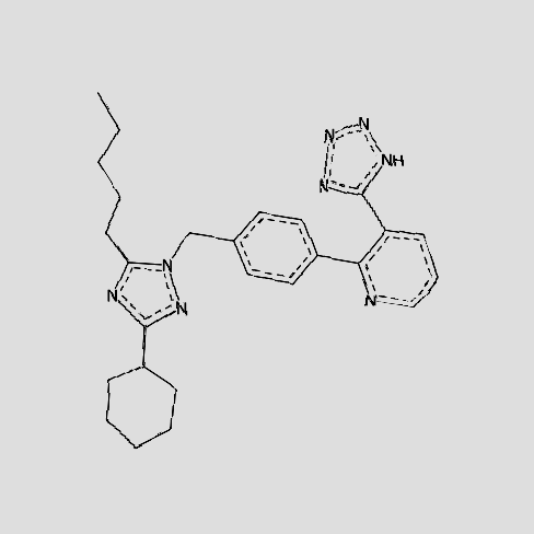 CCCCCc1nc(C2CCCCC2)nn1Cc1ccc(-c2ncccc2-c2nnn[nH]2)cc1